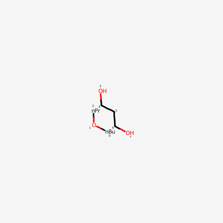 CCCCOCCC.OCCCO